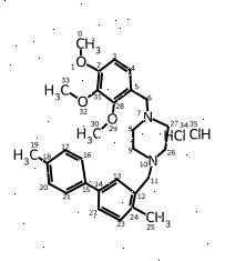 COc1ccc(CN2CCN(Cc3cc(-c4ccc(C)cc4)ccc3C)CC2)c(OC)c1OC.Cl.Cl